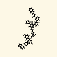 NC1(C(=O)N[C@@H](CCNS(=O)(=O)CCCCNC(=O)[C@H](NC(=O)c2cccc(C3CCCN(C(=O)CNCc4ccc(F)cc4F)C3)c2)C2CCCCC2)c2ccc(Cl)cc2)CCN(c2ncnc3[nH]ccc23)CC1